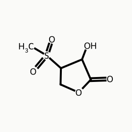 CS(=O)(=O)C1COC(=O)C1O